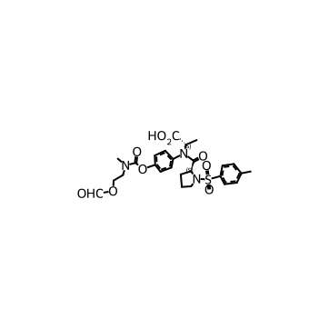 Cc1ccc(S(=O)(=O)N2CCC[C@H]2C(=O)N(c2ccc(OC(=O)N(C)CCOC=O)cc2)[C@@H](C)C(=O)O)cc1